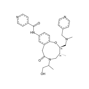 CC(CO)N1C[C@@H](C)[C@H](CN(C)Cc2ccncc2)Oc2ccc(NC(=O)c3ccncc3)cc2CC1=O